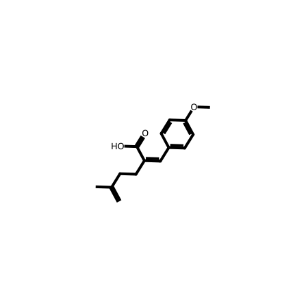 C=C(C)CCC(=Cc1ccc(OC)cc1)C(=O)O